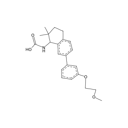 COCCOc1cccc(-c2ccc3c(c2)C(NC(=O)O)C(C)(C)CC3)c1